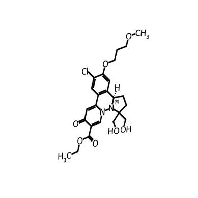 CCOC(=O)c1cn2c(cc1=O)-c1cc(Cl)c(OCCCOC)cc1[C@H]1CCC(CO)(CO)N12